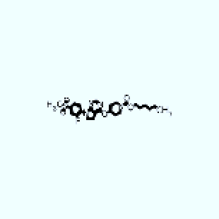 CCCCCCOC(=O)N1CCC(Oc2ncnc3c2CCN3c2ccc(S(C)(=O)=O)cc2F)CC1